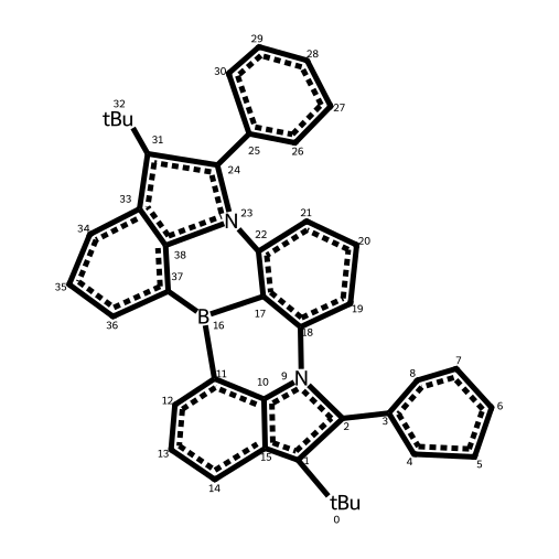 CC(C)(C)c1c(-c2ccccc2)n2c3c(cccc13)B1c3c-2cccc3-n2c(-c3ccccc3)c(C(C)(C)C)c3cccc1c32